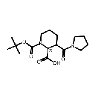 CC(C)(C)OC(=O)N1CCCC(C(=O)N2CCCC2)[C@H]1C(=O)O